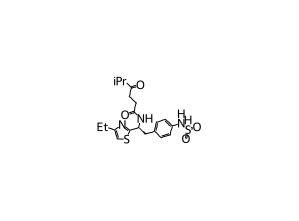 CCc1csc([C@H](Cc2ccc(N[SH](=O)=O)cc2)NC(=O)CCC(=O)C(C)C)n1